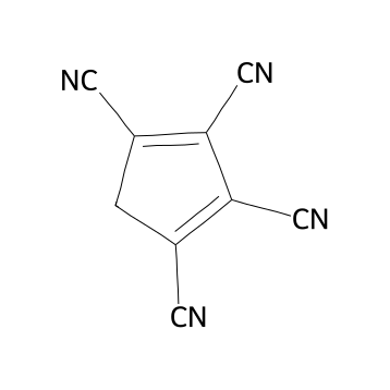 N#CC1=C(C#N)C(C#N)=C(C#N)C1